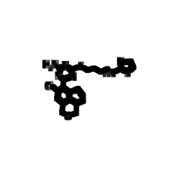 Nc1nc(SCCCCNc2nccs2)nc(-c2c(Cl)cc3c4c(cccc24)COC3)n1